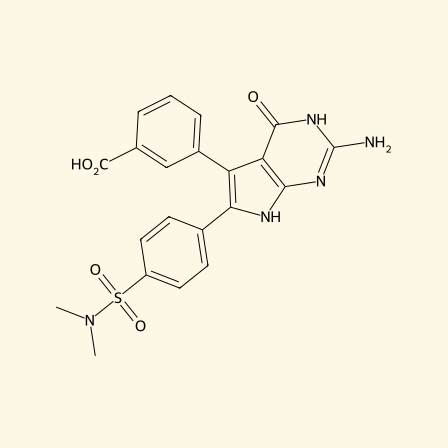 CN(C)S(=O)(=O)c1ccc(-c2[nH]c3nc(N)[nH]c(=O)c3c2-c2cccc(C(=O)O)c2)cc1